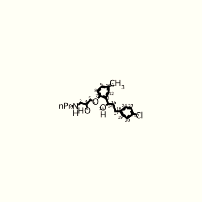 CCCNCC(O)COc1ccc(C)cc1C(O)CCc1ccc(Cl)cc1